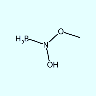 BN(O)OC